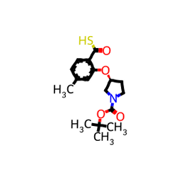 Cc1ccc(C(=O)S)c(O[C@H]2CCN(C(=O)OC(C)(C)C)C2)c1